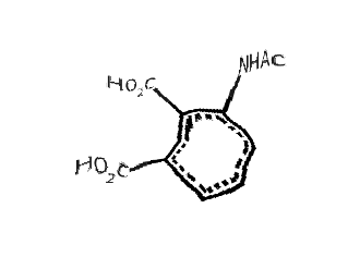 CC(=O)Nc1cccc(C(=O)O)c1C(=O)O